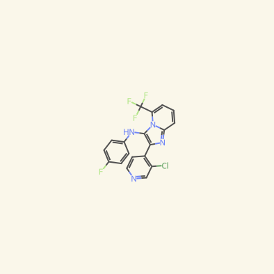 Fc1ccc(Nc2c(-c3ccncc3Cl)nc3cccc(C(F)(F)F)n23)cc1